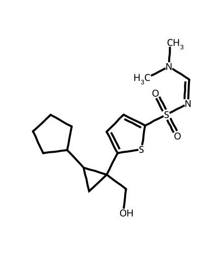 CN(C)/C=N\S(=O)(=O)c1ccc(C2(CO)CC2C2CCCC2)s1